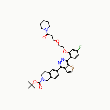 CC(C)(C)OC(=O)N1CCc2cc(-c3nnc(-c4ccc(F)cc4OCCOCCC(=O)N4CCCCC4)c4sccc34)ccc2C1